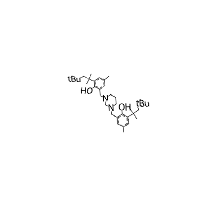 Cc1cc(CN2CCCN(Cc3cc(C)cc(C(C)(C)CC(C)(C)C)c3O)C2)c(O)c(C(C)(C)CC(C)(C)C)c1